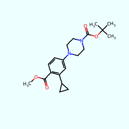 COC(=O)c1ccc(N2CCN(C(=O)OC(C)(C)C)CC2)cc1C1CC1